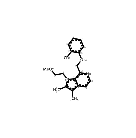 COCCn1c(C)c(C)c2ccnc(COc3ccccc3Cl)c21